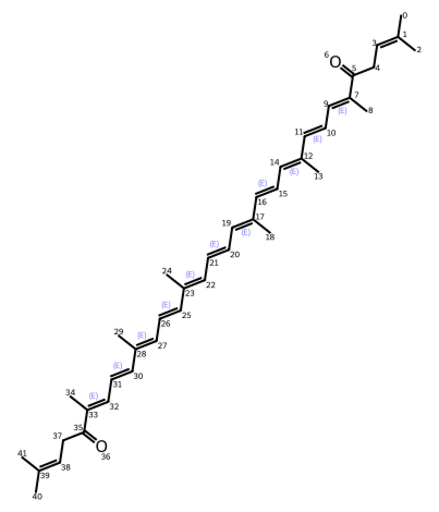 CC(C)=CCC(=O)/C(C)=C/C=C/C(C)=C/C=C/C(C)=C/C=C/C=C(C)/C=C/C=C(C)/C=C/C=C(\C)C(=O)CC=C(C)C